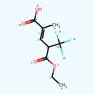 CCOC(=O)C(/C=C(\C)C(=O)O)C(F)(F)F